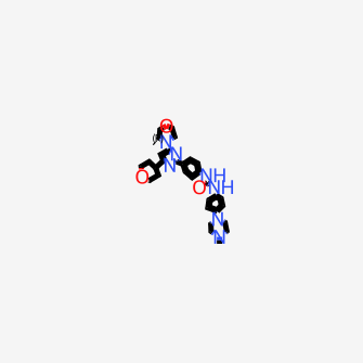 C[C@@H]1COCCN1c1cc(C2CCOCC2)nc(-c2ccc(NC(=O)Nc3ccc(N4CCN(C)CC4)cc3)cc2)n1